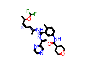 C=C(/N=C(/N/C(C)=C/C=C\C(C)OC(F)F)c1cc(NC(=O)C2CCOCC2)ccc1C)c1cnccn1